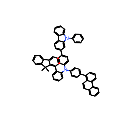 CC1(C)c2ccccc2-c2cccc(-c3ccccc3N(c3ccc(-c4ccc5c6ccccc6n(-c6ccccc6)c5c4)cc3)c3ccc(-c4cccc5c4ccc4ccccc45)cc3)c21